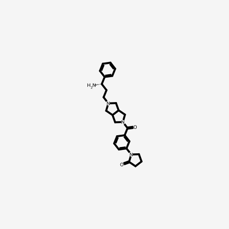 N[C@@H](CCN1CC2CN(C(=O)c3cccc(N4CCCC4=O)c3)CC2C1)c1ccccc1